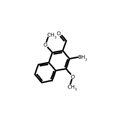 Bc1c(C=O)c(OC)c2ccccc2c1OC